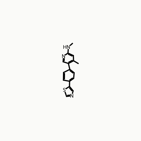 CNc1cc(C)c(-c2ccc(-c3cncs3)cc2)cn1